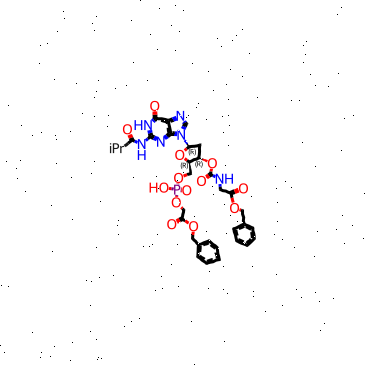 CC(C)C(=O)Nc1nc2c(ncn2[C@H]2C[C@@H](OC(=O)NCC(=O)OCc3ccccc3)[C@@H](COP(=O)(O)OCC(=O)OCc3ccccc3)O2)c(=O)[nH]1